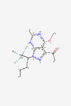 CCCC(n1nc(C(C)=O)c2c(OC)nc(C)nc21)C(F)(F)F